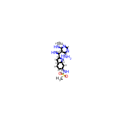 CC(C)(C)Nc1ncnc(N)c1C(=N)c1cc2ccc(NS(C)(=O)=O)cc2[nH]1